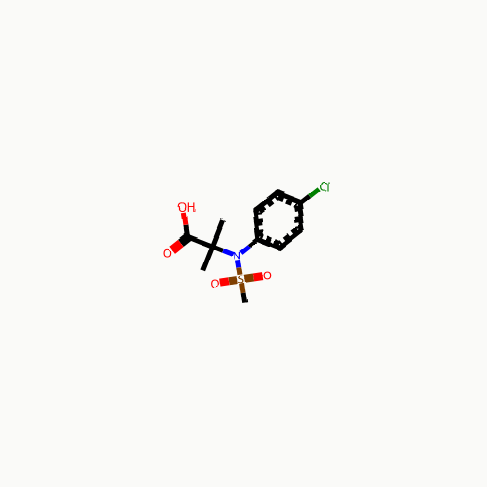 CC(C)(C(=O)O)N(c1ccc(Cl)cc1)S(C)(=O)=O